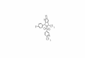 O=S(=O)(c1ccc(C(F)(F)F)nc1)N1C(c2ccc(F)cc2)c2n[nH]cc2C1C(F)(F)F